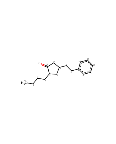 CCCCC1CC(CCc2ccccc2)CC1=O